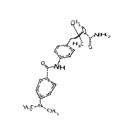 CN(C)c1ccc(C(=O)Nc2ccc(CC(C)(C)OC(N)=O)cc2)cc1